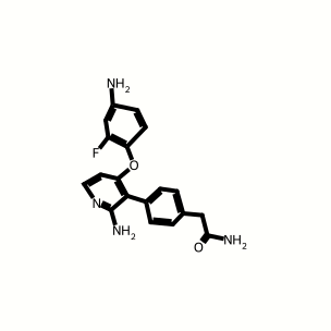 NC(=O)Cc1ccc(-c2c(Oc3ccc(N)cc3F)ccnc2N)cc1